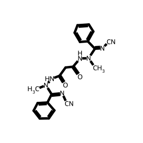 CN(NC(=O)CC(=O)NN(C)/C(=N/C#N)c1ccccc1)/C(=N/C#N)c1ccccc1